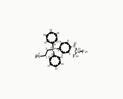 CC(C)CC[P+](c1ccccc1)(c1ccccc1)c1ccccc1.[F][Cu-]([F])[F]